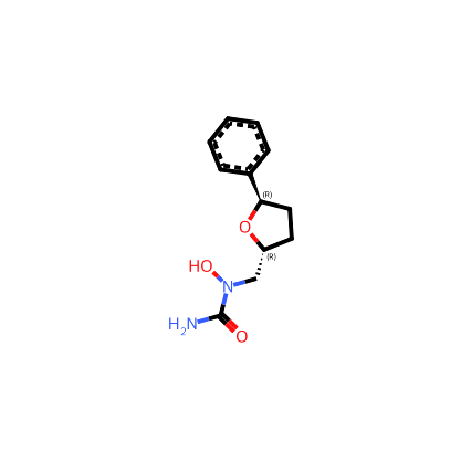 NC(=O)N(O)C[C@H]1CC[C@H](c2ccccc2)O1